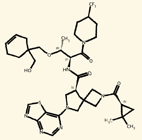 C[C@@H](OCC1(CO)CC=CCC1)[C@H](NC(=O)[C@@H]1CN(c2ncnc3ncsc23)CC12CN(C(=O)[C@H]1CC1(C)C)C2)C(=O)N1CCC(C(F)(F)F)CC1